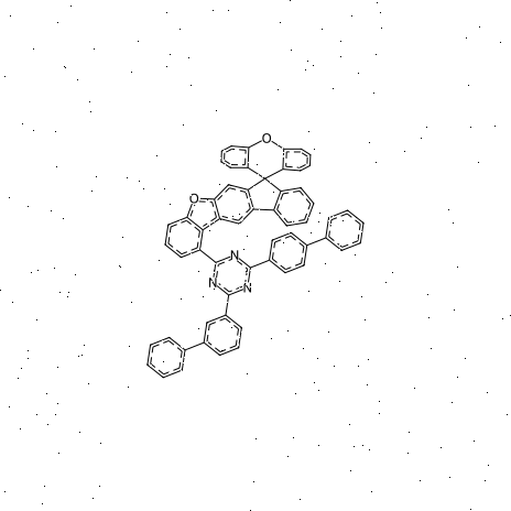 c1ccc(-c2ccc(-c3nc(-c4cccc(-c5ccccc5)c4)nc(-c4cccc5oc6cc7c(cc6c45)-c4ccccc4C74c5ccccc5Oc5ccccc54)n3)cc2)cc1